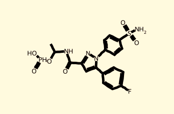 CC(NC(=O)c1cc(-c2ccc(F)cc2)n(-c2ccc(S(N)(=O)=O)cc2)n1)O[PH](=O)O